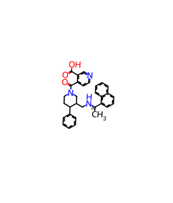 C[C@@H](NCC1CN(C(=O)c2ccncc2C(=O)O)CCC1c1ccccc1)c1cccc2ccccc12